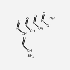 O=NO.O=NO.O=NO.O=NO.O=N[O-].[Na+].[SiH4]